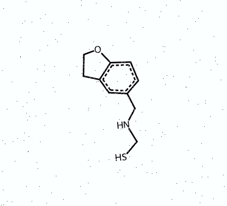 SCNCc1ccc2c(c1)CCO2